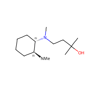 CN[C@H]1CCCC[C@@H]1N(C)CCC(C)(C)O